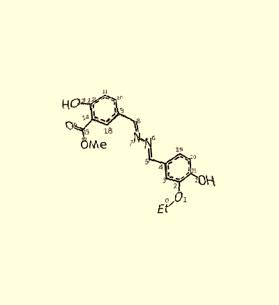 CCOc1cc(/C=N/N=C/c2ccc(O)c(C(=O)OC)c2)ccc1O